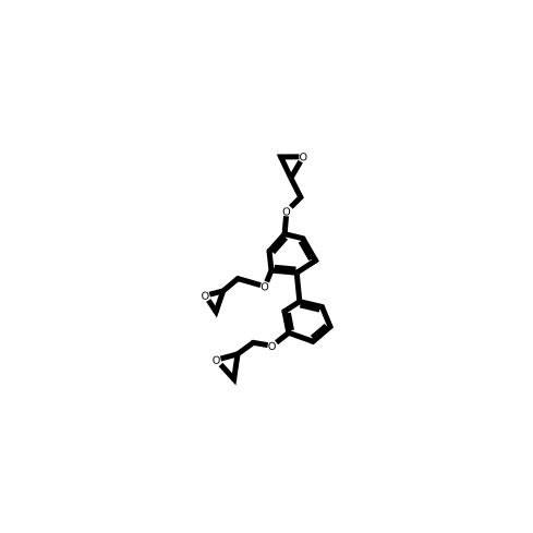 c1cc(OCC2CO2)cc(-c2ccc(OCC3CO3)cc2OCC2CO2)c1